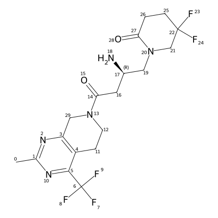 Cc1nc2c(c(C(F)(F)F)n1)CCN(C(=O)C[C@@H](N)CN1CC(F)(F)CCC1=O)C2